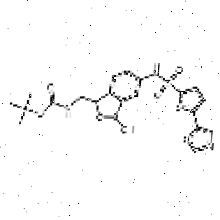 CC(C)(C)OC(=O)NCC1OB(O)c2cc(NS(=O)(=O)c3ccc(-c4cnco4)s3)ccc21